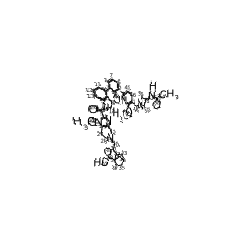 COc1nc(-c2cccc(-c3cccc4c3CCN4C(=O)c3nc4c(n3C)CCN(CCC3CC5CCC3(C(=O)O)C5)C4)c2Cl)ccc1CN1CC(NC(C)=O)C1